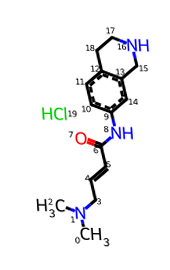 CN(C)C/C=C/C(=O)Nc1ccc2c(c1)CNCC2.Cl